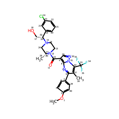 COc1ccc(-c2nc3c(C(=O)N4CCN([C@H](CO)c5cccc(Cl)c5)C[C@H]4C)cnn3c(C(F)(F)F)c2C)cc1